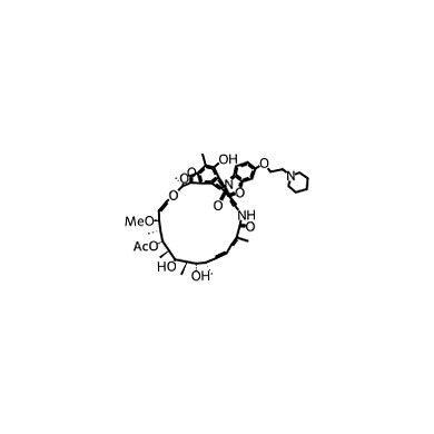 CO[C@H]1/C=C/O[C@@]2(C)Oc3c(C)c(O)c4c(=O)c(c5oc6cc(OCCN7CCCCC7)ccc6nc-5c4c3C2=O)NC(=O)/C(C)=C\C=C\[C@H](C)[C@H](O)[C@@H](C)[C@@H](O)[C@@H](C)[C@H](OC(C)=O)[C@@H]1C